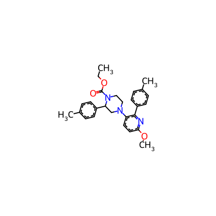 CCOC(=O)N1CCN(c2ccc(OC)nc2-c2ccc(C)cc2)CC1c1ccc(C)cc1